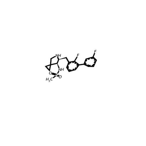 CS(=O)(=O)N[C@@H]1[C@H](Cc2cccc(-c3cccc(F)c3)c2F)NCC12CC2